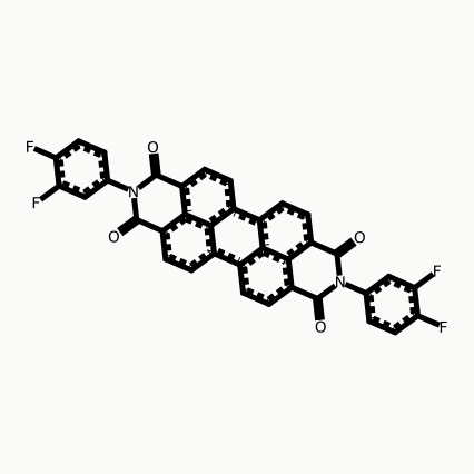 O=C1c2ccc3c4ccc5c6c(ccc(c7ccc(c2c37)C(=O)N1c1ccc(F)c(F)c1)c64)C(=O)N(c1ccc(F)c(F)c1)C5=O